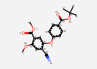 COC(=O)c1cc(Oc2ccc(C(=O)OC(C)(C)C)cc2)c(C#N)cc1OC